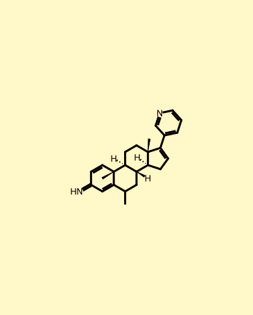 CC1C[C@@H]2[C@H](CC[C@]3(C)C(c4cccnc4)=CC[C@@H]23)[C@@]2(C)C=CC(=N)C=C12